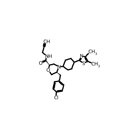 C#CCNC(=O)[C@H]1CN(C2CCC(c3nc(C)c(C)s3)CC2)[C@@H](Cc2ccc(Cl)cc2)CO1